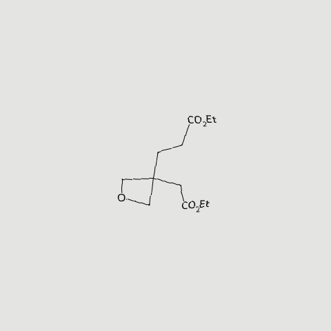 CCOC(=O)CCC1(CC(=O)OCC)COC1